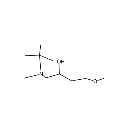 COCCC(O)CN(C)C(C)(C)C